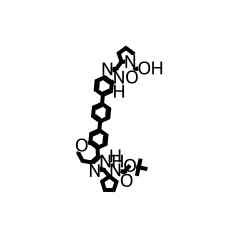 CC(C)(C)OC(=O)NC1(c2nc3c([nH]2)-c2ccc(-c4ccc(-c5ccc6nc(C7CCCN7C(=O)O)[nH]c6c5)cc4)cc2OCC3)CCCC1